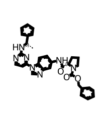 C[C@H](Nc1nccc(-n2cnc3cc(NC(=O)[C@@H]4CCCN4C(=O)OCc4ccccc4)ccc32)n1)c1ccccc1